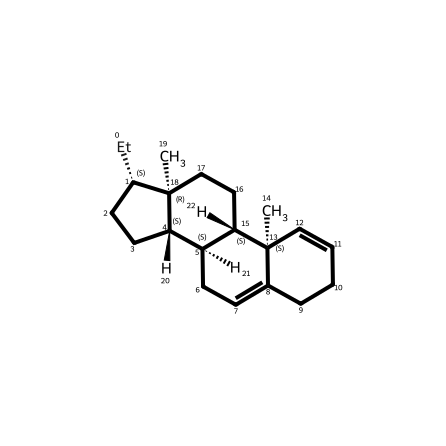 CC[C@H]1CC[C@H]2[C@@H]3CC=C4CCC=C[C@]4(C)[C@H]3CC[C@]12C